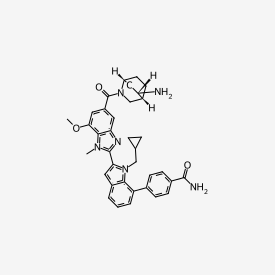 COc1cc(C(=O)N2C[C@H]3CC[C@@H]2C[C@@H]3N)cc2nc(-c3cc4cccc(-c5ccc(C(N)=O)cc5)c4n3CC3CC3)n(C)c12